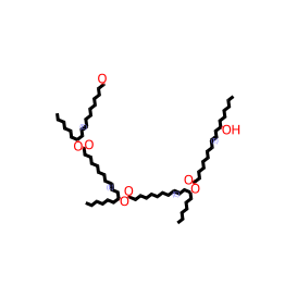 CCCCCCC(O)C/C=C/CCCCCCCC(=O)OC(C/C=C/CCCCCCCC(=O)OC(C/C=C/CCCCCCCC(=O)OC(C/C=C/CCCCCCCC=O)CCCCCC)CCCCCC)CCCCCC